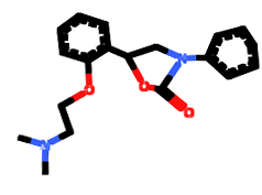 CN(C)CCOc1ccccc1C1CN(c2ccccc2)C(=O)O1